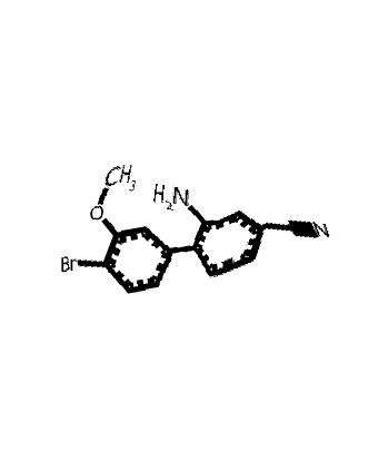 COc1cc(-c2ccc(C#N)cc2N)ccc1Br